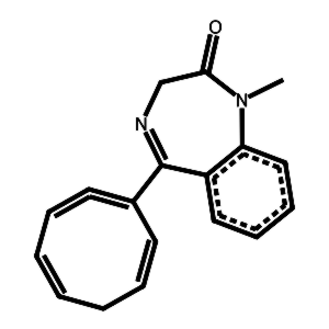 CN1C(=O)CN=C(C2=C=C/C=C\C/C=C\2)c2ccccc21